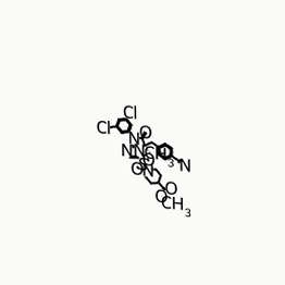 COC(=O)C1CCN(S(=O)(=O)c2cnc3n2[C@](C)(Cc2ccc(C#N)cc2)C(=O)N3c2cc(Cl)cc(Cl)c2)CC1